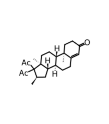 CC(=O)C1(C(C)=O)[C@H](C)C[C@H]2[C@@H]3CCC4=CC(=O)CC[C@]4(C)[C@H]3CC[C@@]21C